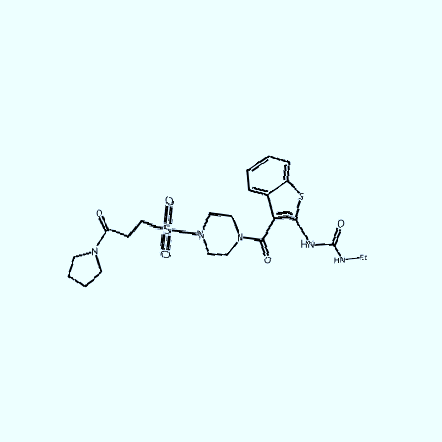 CCNC(=O)Nc1sc2ccccc2c1C(=O)N1CCN(S(=O)(=O)CCC(=O)N2CCCC2)CC1